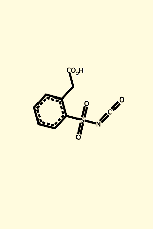 O=C=NS(=O)(=O)c1ccccc1CC(=O)O